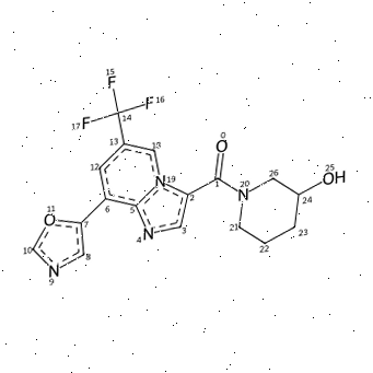 O=C(c1cnc2c(-c3cnco3)cc(C(F)(F)F)cn12)N1CCCC(O)C1